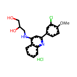 COc1ccc(-c2cc(NCC(O)CO)c3ccccc3n2)cc1Cl.Cl